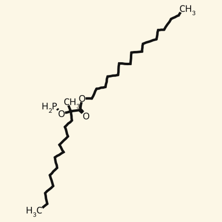 CCCCCCCCCCCCCCCCOC(=O)C(C)(CCCCCCCCCCCC)OP